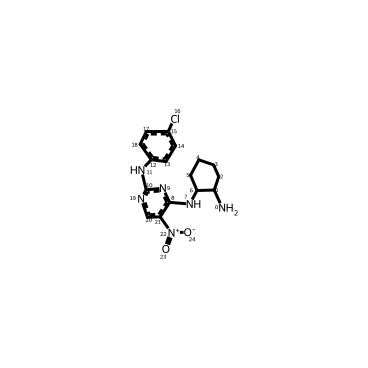 NC1CCCCC1Nc1nc(Nc2ccc(Cl)cc2)ncc1[N+](=O)[O-]